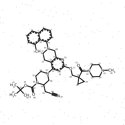 Cc1cccc2cccc(N3CCc4c(nc(OCC5(C(=O)N6CCN(C)CC6)CC5)nc4N4CCN(C(=O)OC(C)(C)C)C(CC#N)C4)C3)c12